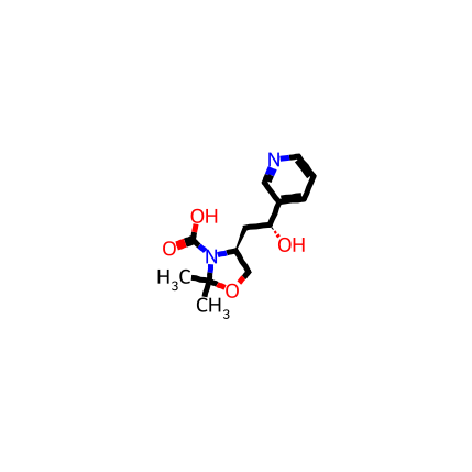 CC1(C)OC[C@H](C[C@@H](O)c2cccnc2)N1C(=O)O